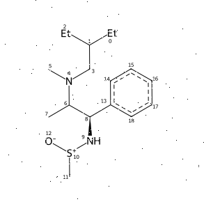 CCC(CC)CN(C)C(C)[C@H](N[S+](C)[O-])c1ccccc1